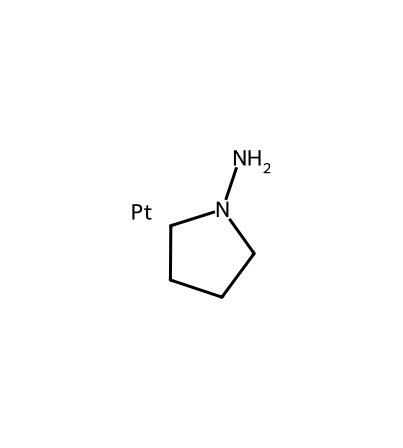 NN1CCCC1.[Pt]